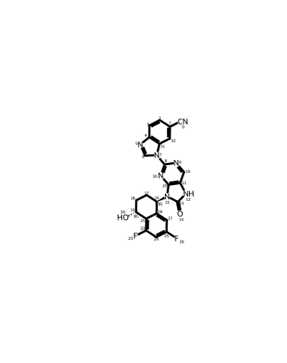 N#Cc1ccc2ncn(-c3ncc4[nH]c(=O)n([C@@H]5CC[C@@H](O)c6c(F)cc(F)cc65)c4n3)c2c1